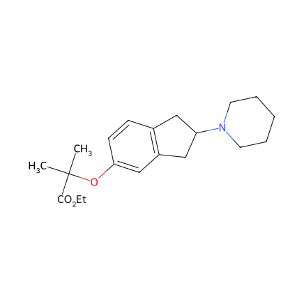 CCOC(=O)C(C)(C)Oc1ccc2c(c1)CC(N1CCCCC1)C2